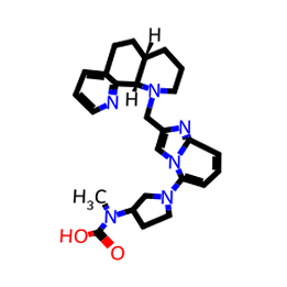 CN(C(=O)O)C1CCN(c2cccc3nc(CN4CCC[C@H]5CCc6cccnc6[C@H]54)cn23)C1